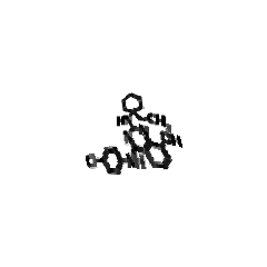 CCC1(Nc2nc(Nc3ccc(Cl)cc3)c3cccc(O)c3n2)CCCCC1